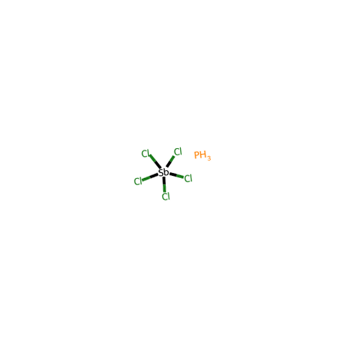 P.[Cl][Sb]([Cl])([Cl])([Cl])[Cl]